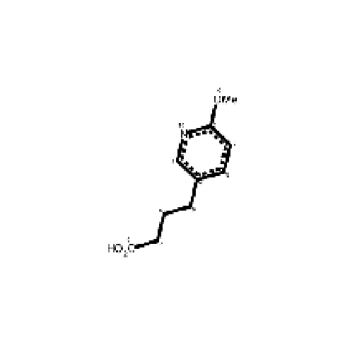 COc1ccc(CCCC(=O)O)cn1